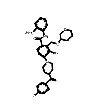 CCc1c(N2CCC(C(=O)c3ccc(F)cc3)CC2)ccc(C(=O)Nc2ccccc2OC)c1COC1CCCOC1